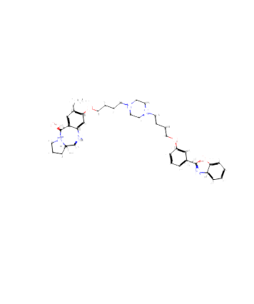 COc1cc2c(cc1OCCCCN1CCN(CCCCOc3cccc(-c4nc5ccccc5o4)c3)CC1)N=C[C@@H]1CCCN1C2=O